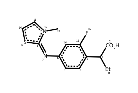 CCC(C(=O)O)c1ccc(N=c2sccn2C)cc1F